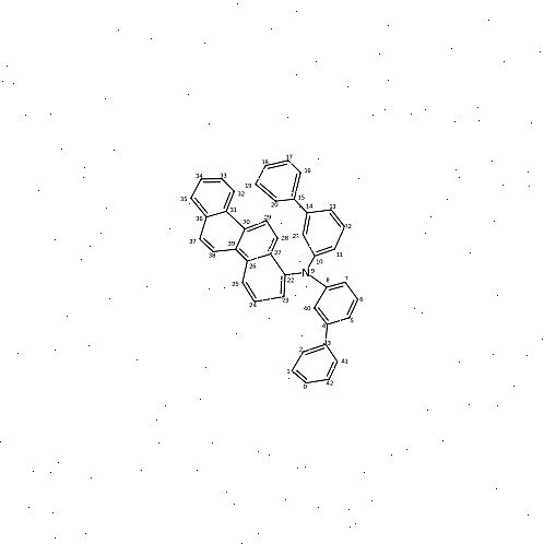 c1ccc(-c2cccc(N(c3cccc(-c4ccccc4)c3)c3cccc4c3ccc3c5ccccc5ccc43)c2)cc1